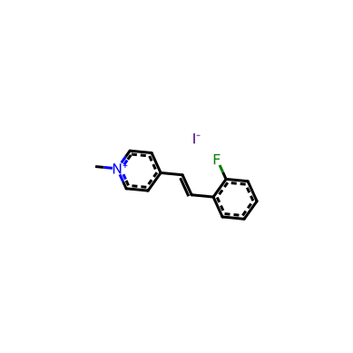 C[n+]1ccc(/C=C/c2ccccc2F)cc1.[I-]